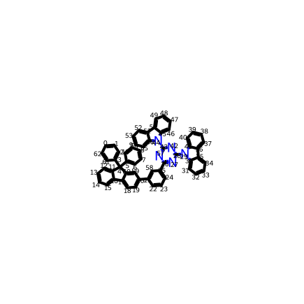 c1ccc(C2(c3ccccc3)c3ccccc3-c3ccc(-c4cccc(-c5nc(-n6c7ccccc7c7ccccc76)nc(-n6c7ccccc7c7ccccc76)n5)c4)cc32)cc1